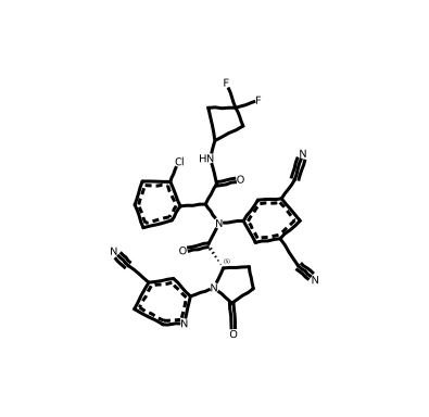 N#Cc1cc(C#N)cc(N(C(=O)[C@@H]2CCC(=O)N2c2cc(C#N)ccn2)C(C(=O)NC2CC(F)(F)C2)c2ccccc2Cl)c1